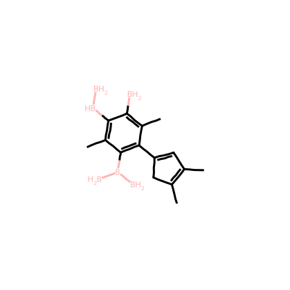 BBc1c(B)c(C)c(C2=CC(C)=C(C)C2)c(B(B)B)c1C